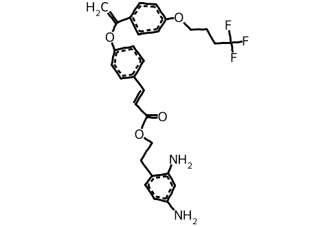 C=C(Oc1ccc(/C=C/C(=O)OCCc2ccc(N)cc2N)cc1)c1ccc(OCCCC(F)(F)F)cc1